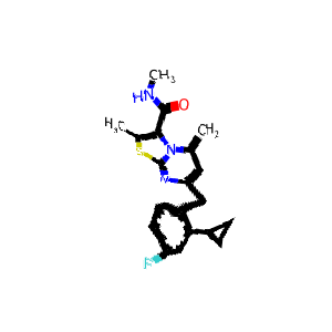 C=C1C=C(Cc2ccc(F)cc2C2CC2)N=C2SC(C)=C(C(=O)NC)N12